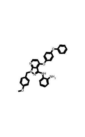 COc1ccc(Cn2nc(Nc3ccccc3N)c3c(Oc4ccc(Oc5ccccc5)cc4)ccnc32)cc1